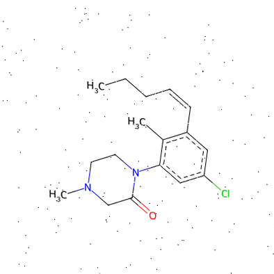 CCC/C=C\c1cc(Cl)cc(N2CCN(C)CC2=O)c1C